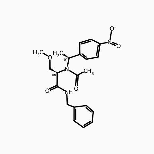 COC[C@H](C(=O)NCc1ccccc1)N(C(C)=O)[C@@H](C)c1ccc([N+](=O)[O-])cc1